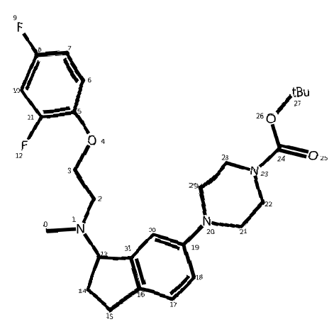 CN(CCOc1ccc(F)cc1F)C1CCc2ccc(N3CCN(C(=O)OC(C)(C)C)CC3)cc21